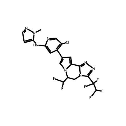 Cn1nccc1Nc1cc(-c2cc3n(c2)C(C(F)F)Cn2c-3nnc2C(F)(F)C(F)F)c(Cl)cn1